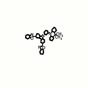 CC1(C)c2ccccc2N(c2cccc(-n3c4ccc(-c5nc6ccccc6o5)cc4c4cc(-c5nc6ccccc6o5)ccc43)c2)c2ccccc21